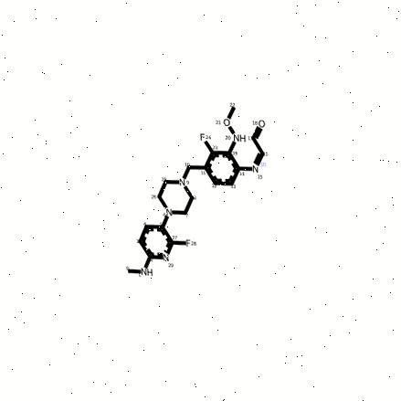 CNc1ccc(N2CCN(Cc3ccc(/N=C\C=O)c(NOC)c3F)CC2)c(F)n1